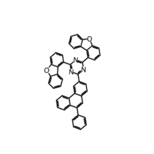 c1ccc(-c2cc3ccc(-c4nc(-c5cccc6oc7ccccc7c56)nc(-c5cccc6oc7ccccc7c56)n4)cc3c3ccccc23)cc1